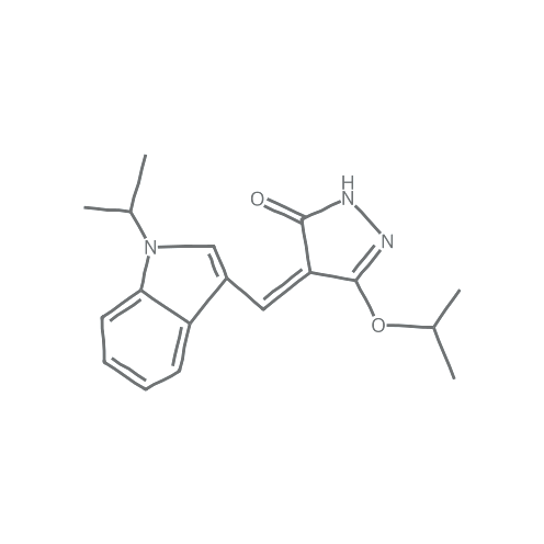 CC(C)OC1=NNC(=O)C1=Cc1cn(C(C)C)c2ccccc12